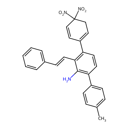 Cc1ccc(-c2ccc(C3=CCC([N+](=O)[O-])([N+](=O)[O-])C=C3)c(C=Cc3ccccc3)c2N)cc1